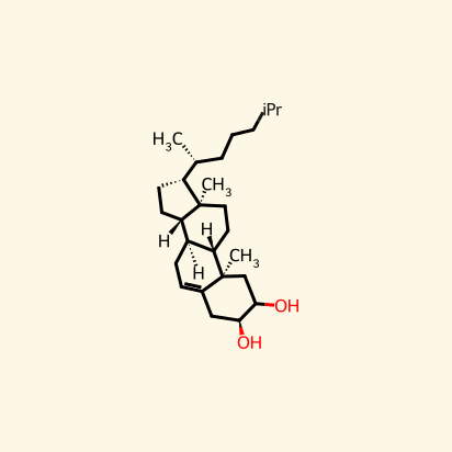 CC(C)CCC[C@@H](C)[C@H]1CC[C@H]2[C@@H]3CC=C4C[C@H](O)C(O)C[C@]4(C)[C@H]3CC[C@]12C